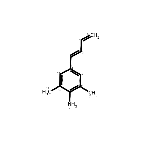 C=CC=Cc1cc(C)c(N)c(C)c1